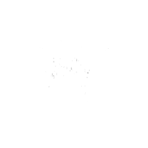 Cc1ccccc1[C@]1(C)c2ccccc2C(C)(C)[C@@H](OC(=O)c2ccccc2)[C@H]1OC(=O)c1ccccc1